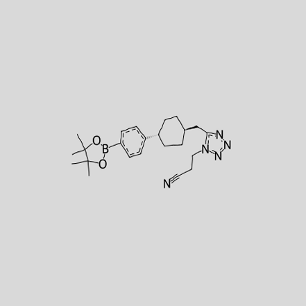 CC1(C)OB(c2ccc([C@H]3CC[C@H](Cc4nnnn4CCC#N)CC3)cc2)OC1(C)C